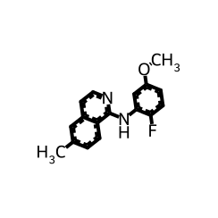 COc1ccc(F)c(Nc2nccc3cc(C)ccc23)c1